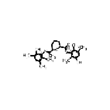 C/C(=N\c1c(C)c(C)cc(C)c1C)C1CCCC(/C(C)=N/c2c(C)c(C)cc(C)c2C)S1